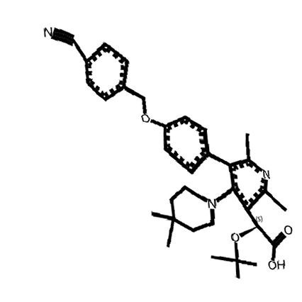 Cc1nc(C)c([C@H](OC(C)(C)C)C(=O)O)c(N2CCC(C)(C)CC2)c1-c1ccc(OCc2ccc(C#N)cc2)cc1